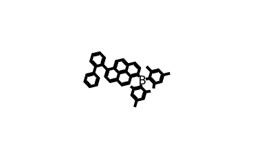 Cc1cc(C)c(B(c2c(C)cc(C)cc2C)c2ccc3ccc4c(-c5ccccc5-c5ccccc5)ccc5ccc2c3c54)c(C)c1